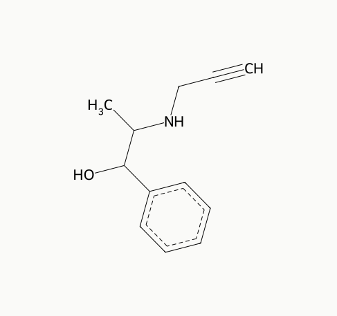 C#CCNC(C)C(O)c1ccccc1